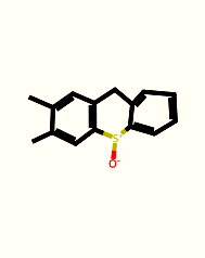 Cc1cc2c(cc1C)[S+]([O-])c1ccccc1C2